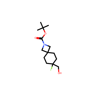 CC(C)(C)OC(=O)N1CC2(CCC(F)(CO)CC2)C1